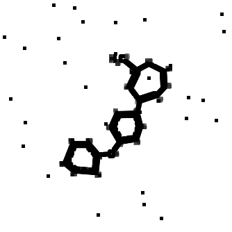 CC1=CC(c2ccc(Oc3ccccc3)cc2)=CC=CC1